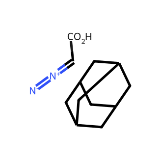 C1C2CC3CC1CC(C2)C3.[N-]=[N+]=CC(=O)O